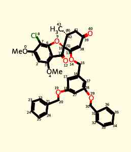 COc1cc(OC)c2c(c1Cl)O[C@]1(C2=O)C(OCc2cc(OCc3ccccc3)cc(OCc3ccccc3)c2)=CC(=O)C[C@H]1C